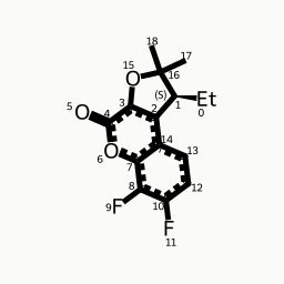 CC[C@H]1c2c(c(=O)oc3c(F)c(F)ccc23)OC1(C)C